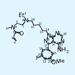 C=CC(=O)N(C)CCN(CC)CCCCCn1nc(-c2cc(F)cc(OC)c2)c2c(N)ncnc21